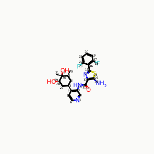 C[C@H]1C[C@@H](c2ccncc2NC(=O)c2nc(-c3c(F)cccc3F)sc2N)C[C@@H](O)[C@]1(C)O